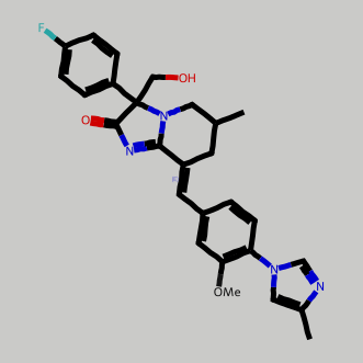 COc1cc(/C=C2\CC(C)CN3C2=NC(=O)C3(CO)c2ccc(F)cc2)ccc1-n1cnc(C)c1